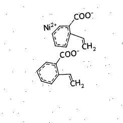 C=Cc1ccccc1C(=O)[O-].C=Cc1ccccc1C(=O)[O-].[Ni+2]